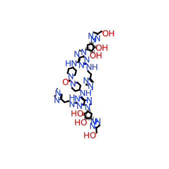 Cn1cnc(CCNc2nc(NC3CCN(C(=O)N4CCC(Nc5nc(NCCc6cn(C)cn6)nc6c5ncn6[C@@H]5C[C@H](n6ncc(CO)n6)[C@@H](O)[C@H]5O)CC4)CC3)c3ncn([C@@H]4C[C@H](n5ncc(CO)n5)[C@@H](O)[C@H]4O)c3n2)c1